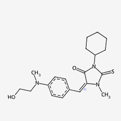 CN1C(=S)N(C2CCCCC2)C(=O)/C1=C\c1ccc(N(C)CCO)cc1